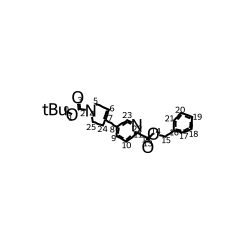 CC(C)(C)OC(=O)N1CC=C(c2ccc(C(=O)OCc3ccccc3)nc2)CC1